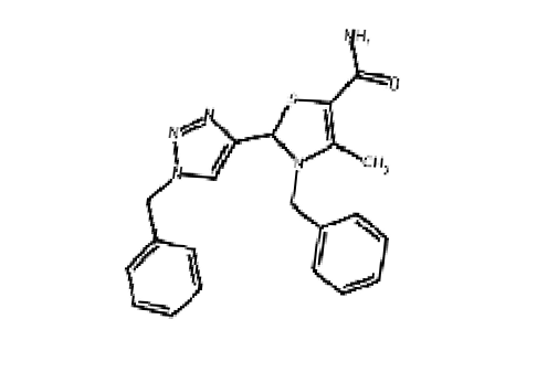 CC1=C(C(N)=O)SC(c2cn(Cc3ccccc3)nn2)N1Cc1ccccc1